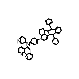 c1ccc(-c2c3c(c(-c4ccccc4)c4ccccc24)-c2ccc(-c4ccc(N(c5cccnc5)c5cc6cccnc6c6ncccc56)cc4)c4cccc-3c24)cc1